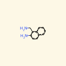 NCc1c(N)ccc2ccccc12